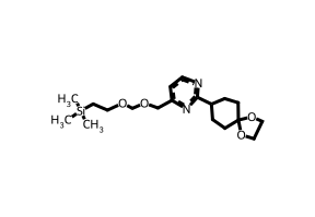 C[Si](C)(C)CCOCOCc1ccnc(C2CCC3(CC2)OCCO3)n1